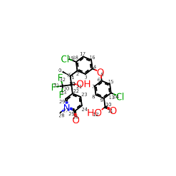 C[C@@H](c1cc(Oc2ccc(C(=O)O)c(Cl)c2)ccc1Cl)[C@](O)(c1ccc(=O)n(C)c1)C(F)(F)F